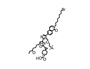 CCC(=O)CCCCCC(NC(=O)C1CC12CCN(C(=O)O)CC2)c1ncc(-c2ccc3c(=O)n(CCCCCCCCBr)ccc3c2)n1COCC[Si](C)(C)C